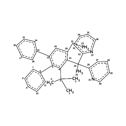 CC(C)(C)c1c(-c2ccccc2)c(-c2ccccc2)cc(CP)c1C(P)(c1ccccn1)c1ccccn1